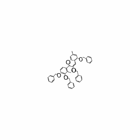 Cc1cc(OCc2ccccc2)c2c(c1)OC(c1ccc(OCc3ccccc3)c(OCc3ccccc3)c1C)C(OCc1ccccc1)=C2